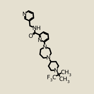 CC(C)(N1CCC(N2CCCN(c3cccc(C(=O)NCc4cccnc4)n3)CC2)CC1)C(F)(F)F